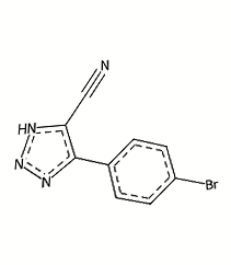 N#Cc1[nH]nnc1-c1ccc(Br)cc1